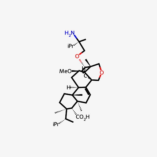 CO[C@@H]1C[C@@]23COC[C@](C)([C@@H]2CC[C@H]2C3=CC[C@@]3(C)[C@H](C(=O)O)[C@@](C)([C@H](C)C(C)C)CC[C@]23C)[C@H]1OC[C@](C)(N)C(C)C